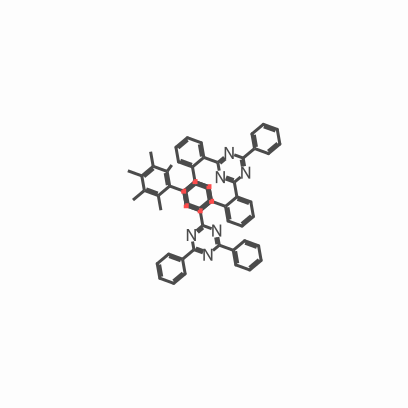 Cc1c(C)c(C)c(-c2cc(-c3nc(-c4ccccc4)nc(-c4ccccc4)n3)ccc2-c2ccccc2-c2nc(-c3ccccc3)nc(-c3ccccc3-c3ccccc3)n2)c(C)c1C